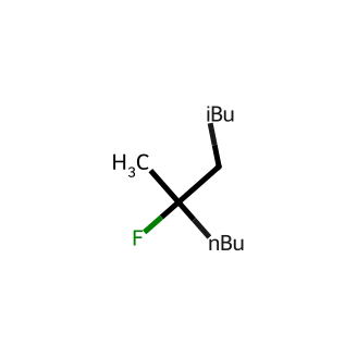 CCCCC(C)(F)CC(C)CC